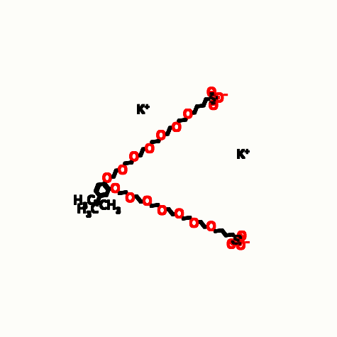 CC(C)(C)c1ccc(OCCOCCOCCOCCOCCOCCOCCCCS(=O)(=O)[O-])c(OCCOCCOCCOCCOCCOCCOCCCCS(=O)(=O)[O-])c1.[K+].[K+]